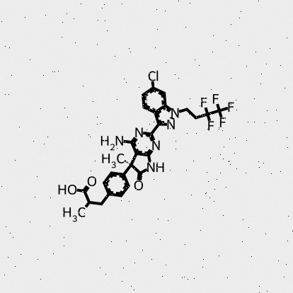 CC(Cc1ccc([C@]2(C)C(=O)Nc3nc(-c4nn(CCC(F)(F)C(F)(F)F)c5cc(Cl)ccc45)nc(N)c32)cc1)C(=O)O